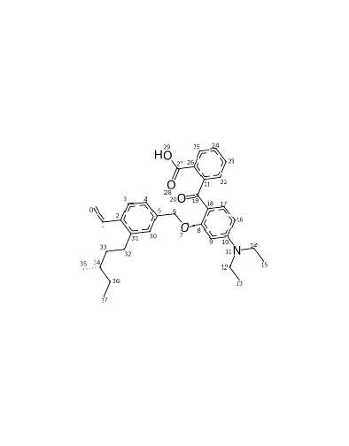 C=Cc1ccc(COc2cc(N(CC)CC)ccc2C(=O)c2ccccc2C(=O)O)cc1CC[C@@H](C)CC